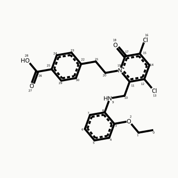 CCOc1ccccc1NCc1c(Cl)cc(Cl)c(=O)n1CCc1ccc(C(=O)O)cc1